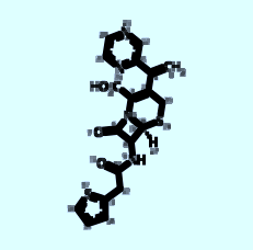 C=C(C1=C(C(=O)O)N2C(=O)C(NC(=O)Cc3cccs3)[C@@H]2SC1)c1cnccn1